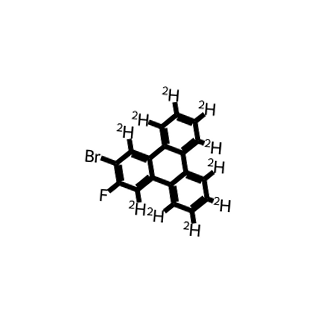 [2H]c1c([2H])c([2H])c2c(c1[2H])c1c([2H])c([2H])c([2H])c([2H])c1c1c([2H])c(Br)c(F)c([2H])c21